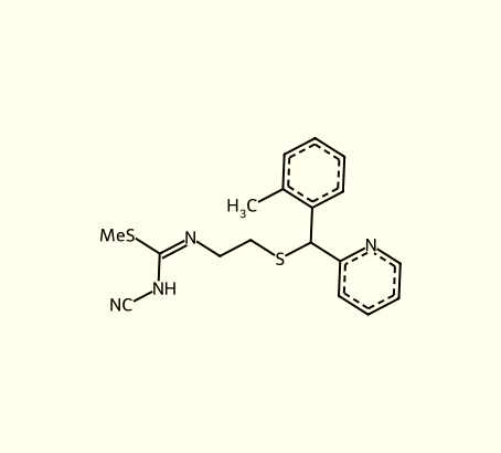 CSC(=NCCSC(c1ccccn1)c1ccccc1C)NC#N